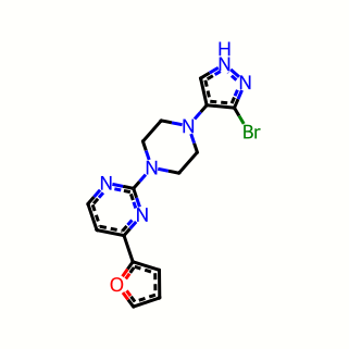 Brc1n[nH]cc1N1CCN(c2nccc(-c3ccco3)n2)CC1